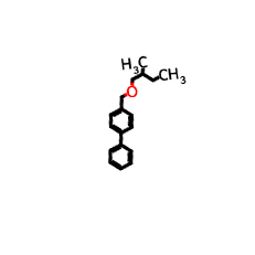 CCC(C)COCc1ccc(-c2ccccc2)cc1